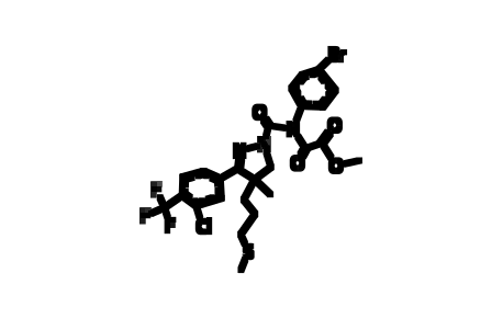 COC(=O)C(=O)N(C(=O)N1CC(C)(CCCSC)C(c2ccc(C(F)(F)F)c(Cl)c2)=N1)c1ccc(Br)cc1